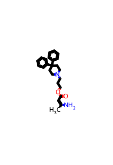 CC(N)=CC(=O)OCCCN1CCC(c2ccccc2)(c2ccccc2)CC1